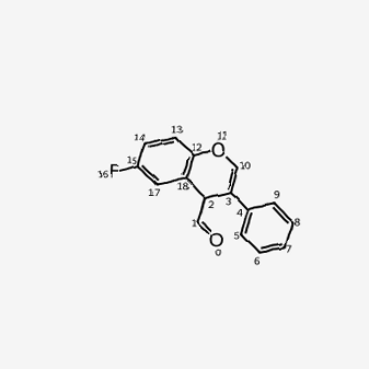 O=CC1C(c2ccccc2)=COc2ccc(F)cc21